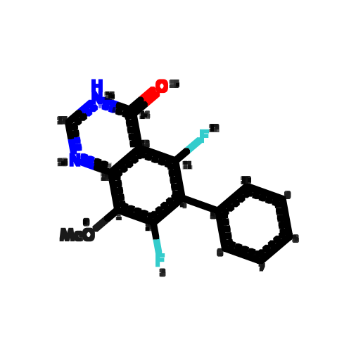 COc1c(F)c(-c2ccccc2)c(F)c2c(=O)[nH]cnc12